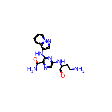 NCCC(C=O)Nc1cnc(C(N)=O)c(Nc2cnn3ccccc23)n1